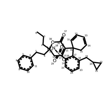 CCCC1(CCc2ccccc2)CC(O)=C(C2(c3c(CC4CC4)cccc3S(N)(=O)=O)C=CC=CC2)C(=O)O1